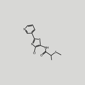 CSC(C)C(=O)Nc1sc(-c2cccnc2)nc1Cl